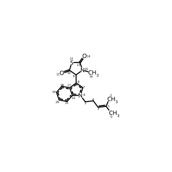 CC(C)=CCCn1cc(C2C(=O)SC(=O)N2C)c2ccccc21